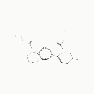 C[C@H]1CC=C(c2ccc3c(c2)CCCN3C(=O)OC(C)(C)C)N(C(=O)OC(C)(C)C)C1